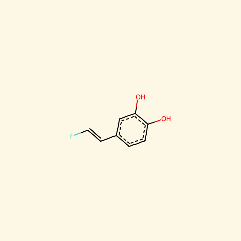 Oc1ccc(/C=C/F)cc1O